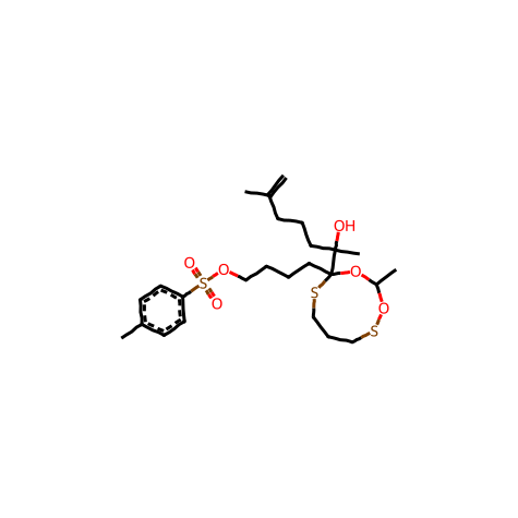 C=C(C)CCCC(C)(O)C1(CCCCOS(=O)(=O)c2ccc(C)cc2)OC(C)OSCCCS1